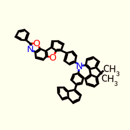 CC1(C)c2ccccc2-c2c(N(c3ccc(-c4cccc5ccccc45)cc3)c3ccc(-c4cccc5c4oc4ccc6nc(-c7ccccc7)oc6c45)cc3)cccc21